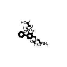 CCCCC(=O)N(CCN)Cc1ccc(-c2ccccc2)c(S(=O)(=O)NC(=O)[C@H](C)O)c1F